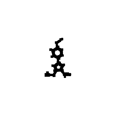 COc1nn(-c2ccc(CF)nc2)cc1CO